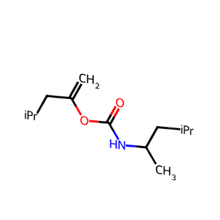 C=C(CC(C)C)OC(=O)NC(C)CC(C)C